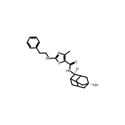 Cc1nc(NCCc2ccccc2)sc1C(=O)N[C@H]1C2CC3CC1C[C@](O)(C3)C2